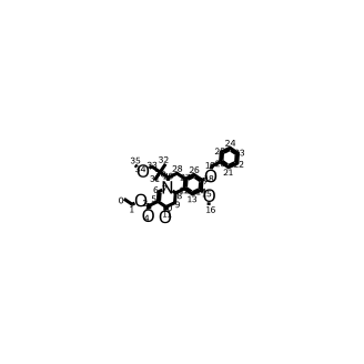 CCOC(=O)C1=CN2C(CC1=O)c1cc(OC)c(OCc3ccccc3)cc1CC2C(C)(C)COC